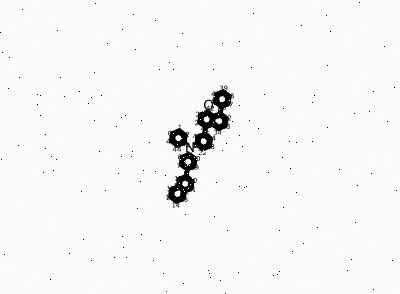 c1ccc(N(c2ccc(-c3ccc4ccccc4c3)cc2)c2cccc(-c3ccc4c5c(cccc35)-c3ccccc3O4)c2)cc1